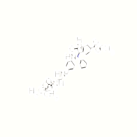 COC(=O)c1ccc2c(c1)NC(=O)/C2=C(\Nc1ccc(CNCCNC(=O)OC(C)(C)C)cc1)c1ccccc1